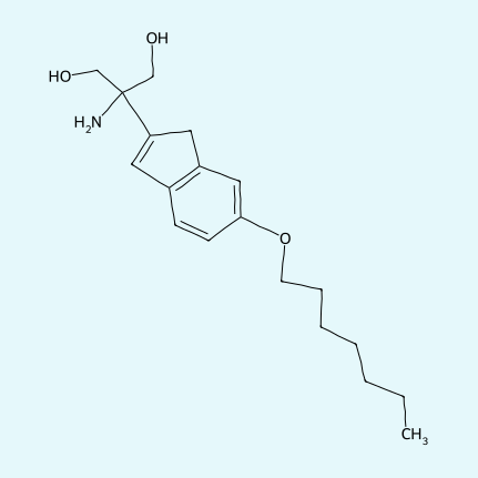 CCCCCCCOc1ccc2c(c1)CC(C(N)(CO)CO)=C2